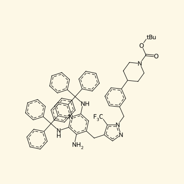 CC(C)(C)OC(=O)N1CCC(c2cccc(Cn3ncc(Cc4cc(NC(c5ccccc5)(c5ccccc5)c5ccccc5)nc(NC(c5ccccc5)(c5ccccc5)c5ccccc5)c4N)c3C(F)(F)F)c2)CC1